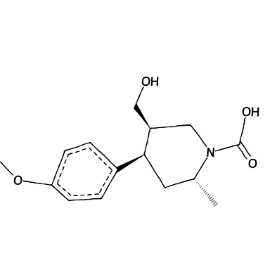 COc1ccc([C@@H]2C[C@@H](C)N(C(=O)O)C[C@@H]2CO)cc1